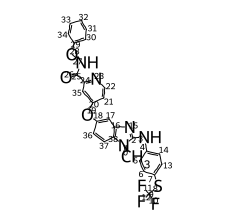 Cn1c(Nc2ccc(SC(F)(F)F)cc2)nc2cc(Oc3ccnc(C(=O)NOc4ccccc4)c3)ccc21